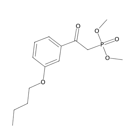 CCCCOc1cccc(C(=O)CP(=O)(OC)OC)c1